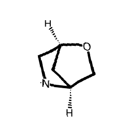 C1O[C@@H]2C[N][C@H]1C2